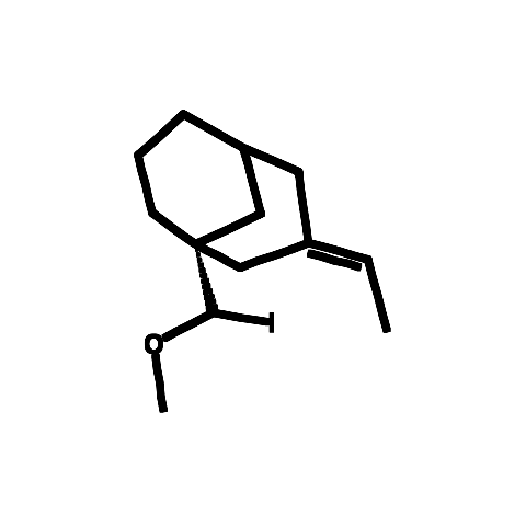 C/C=C1/CC2CCC[C@](C(I)OC)(C1)C2